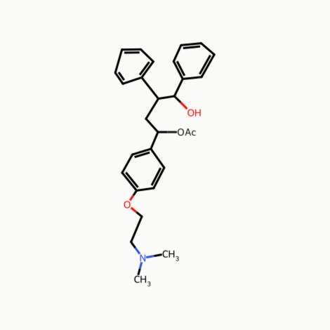 CC(=O)OC(CC(c1ccccc1)C(O)c1ccccc1)c1ccc(OCCN(C)C)cc1